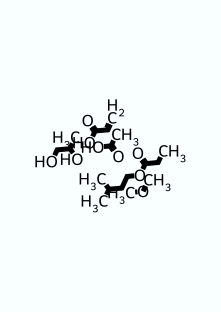 C=CC(=O)O.CC(=O)O.CC(O)CO.CCC(=O)OCCC(C)C.COC